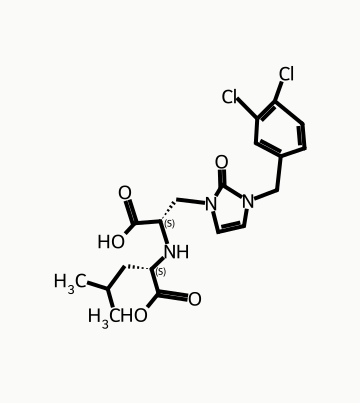 CC(C)C[C@H](N[C@@H](Cn1ccn(Cc2ccc(Cl)c(Cl)c2)c1=O)C(=O)O)C(=O)O